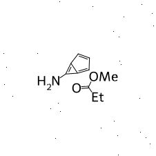 CCC(=O)OC.Nc1c2cccc1-2